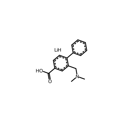 CN(C)Cc1cc(C(=O)O)ccc1-c1ccccc1.[LiH]